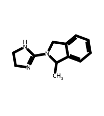 CC1c2ccccc2CN1C1=NCCN1